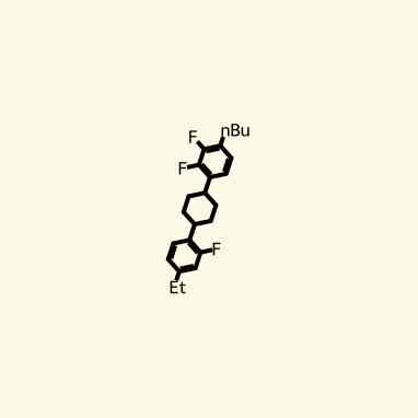 CCCCc1ccc(C2CCC(c3ccc(CC)cc3F)CC2)c(F)c1F